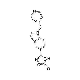 O=c1[nH]c(-c2ccc3c(ccn3Cc3ccncc3)c2)no1